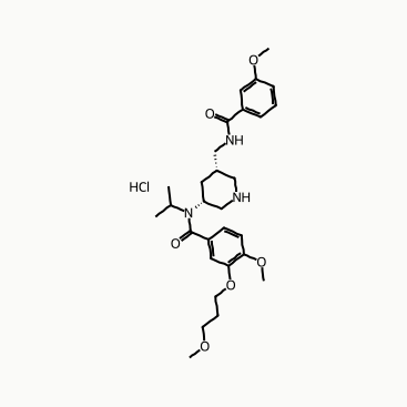 COCCCOc1cc(C(=O)N(C(C)C)[C@H]2CNC[C@@H](CNC(=O)c3cccc(OC)c3)C2)ccc1OC.Cl